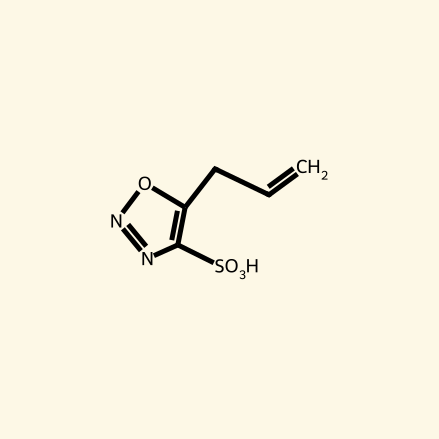 C=CCc1onnc1S(=O)(=O)O